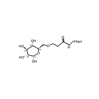 CCCCCCCNC(=O)CCOC[C@H]1O[C@H](O)[C@H](O)[C@@H](O)[C@@H]1O